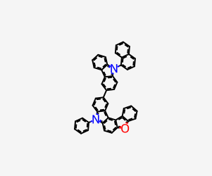 c1ccc(-n2c3ccc(-c4ccc5c(c4)c4ccccc4n5-c4cccc5ccccc45)cc3c3c4c(ccc32)oc2ccccc24)cc1